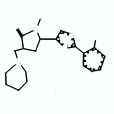 CN1C(=O)C(CN2CCCCC2)CC1c1cnc(-c2ccccc2Cl)s1.Cl